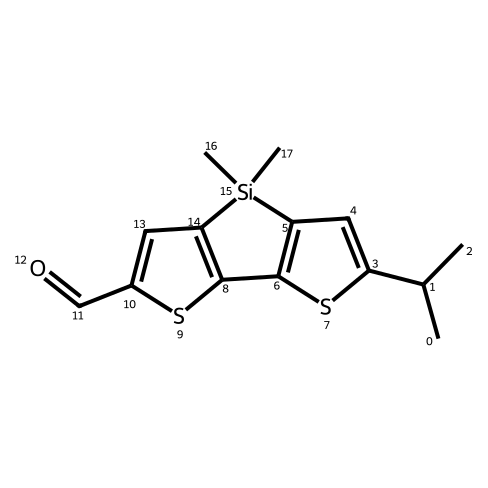 CC(C)c1cc2c(s1)-c1sc(C=O)cc1[Si]2(C)C